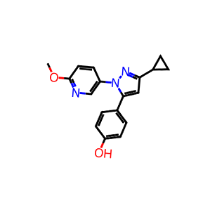 COc1ccc(-n2nc(C3CC3)cc2-c2ccc(O)cc2)cn1